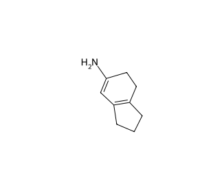 NC1=CC2=C(CCC2)CC1